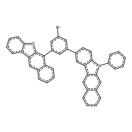 Brc1cc(-c2ccc3c(c2)c2cc4ccccc4cc2n3-c2ccccc2)cc(-c2c3ccccc3cc3c2oc2ccccc23)c1